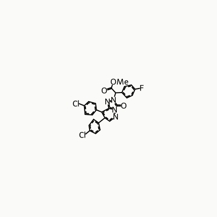 COC(=O)C(c1ccc(F)cc1)n1nc2c(-c3ccc(Cl)cc3)c(-c3ccc(Cl)cc3)cnn2c1=O